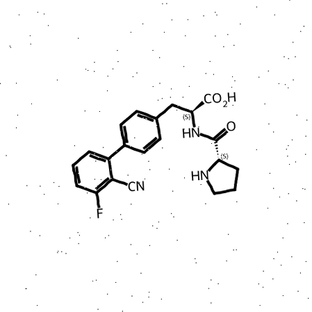 N#Cc1c(F)cccc1-c1ccc(C[C@H](NC(=O)[C@@H]2CCCN2)C(=O)O)cc1